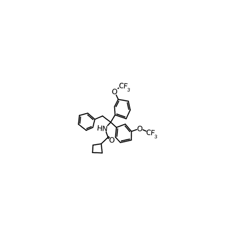 O=C(NC(Cc1ccccc1)(c1cccc(OC(F)(F)F)c1)c1cccc(OC(F)(F)F)c1)C1CCC1